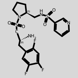 N[C@H](Cc1cc(F)c(F)cc1F)CS(=O)(=O)N1CCC[C@H]1CNS(=O)(=O)c1cccnc1